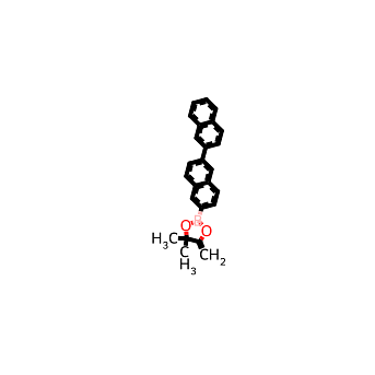 C=C1OB(c2ccc3cc(-c4ccc5ccccc5c4)ccc3c2)OC1(C)C